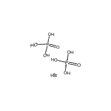 Br.O=P(O)(O)O.O=P(O)(O)O